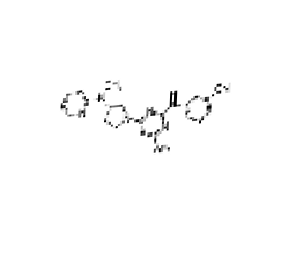 CCCc1cc(N2CC[C@H](N(C)c3ccccn3)C2)nc(Nc2cccc(C#N)c2)n1